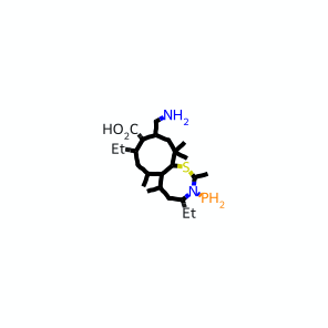 CCC1CC(C)C2C(C)CC(CC)N(P)C(C)SC2C(C)(C)CC(CN)C1C(=O)O